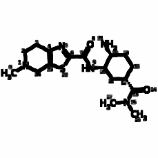 CN1CCc2nc(C(=O)N[C@@H]3C[C@@H](C(=O)N(C)C)CC[C@@H]3N)sc2C1